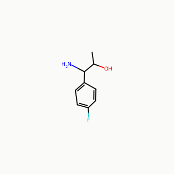 CC(O)C(N)c1ccc(F)cc1